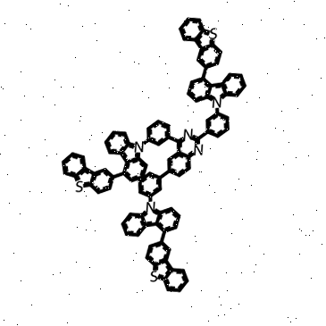 c1cc(-c2ccc3nc(-c4cccc(-n5c6ccccc6c6c(-c7ccc8sc9ccccc9c8c7)cccc65)c4)nc(-c4cccc(-n5c6ccccc6c6c(-c7ccc8sc9ccccc9c8c7)cccc65)c4)c3c2)cc(-n2c3ccccc3c3c(-c4ccc5sc6ccccc6c5c4)cccc32)c1